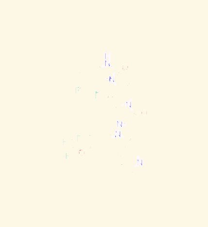 O=C(c1cc(-c2cccnc2)n(-c2ccc(OC(F)(F)F)cc2)n1)N1CCC(n2c(=O)[nH]c3ccc(F)c(F)c32)CC1